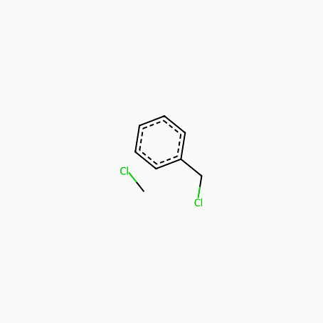 CCl.ClCc1ccccc1